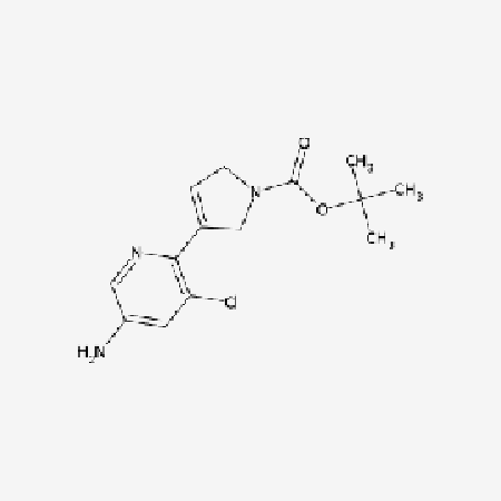 CC(C)(C)OC(=O)N1CC=C(c2ncc(N)cc2Cl)C1